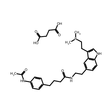 CC(=O)Nc1ccc(CCCC(=O)NCCc2ccc3[nH]cc(CCN(C)C)c3c2)cc1.O=C(O)CCC(=O)O